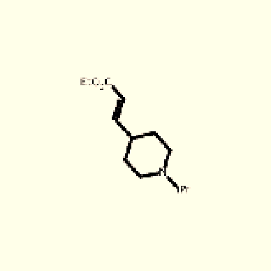 CCOC(=O)/C=C/C1CCN(C(C)C)CC1